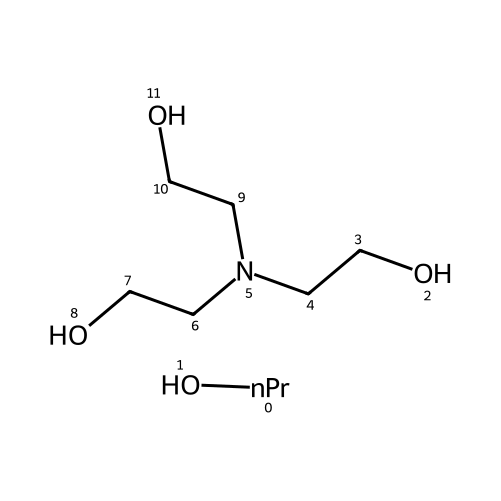 CCCO.OCCN(CCO)CCO